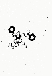 CC1(C)OC2C(O1)[C@H](Sc1ccccc1)O[C@@H]2COC(=O)c1ccccc1